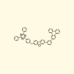 c1ccc(-c2nc(-c3ccccc3)nc(-c3ccc(Cc4ccc5c(c4)oc4cc(-c6cccc(-c7ccc8c9ccccc9c9ccccc9c8c7)c6)ccc45)cc3)n2)cc1